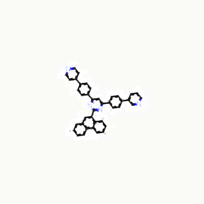 c1cncc(-c2ccc(-c3cc(-c4ccc(-c5ccncc5)cc4)nc(-c4cc5ccccc5c5ccccc45)n3)cc2)c1